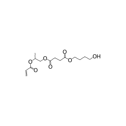 C=CC(=O)OC(C)COC(=O)CCC(=O)OCCCCO